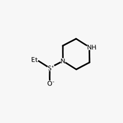 CC[S+]([O-])N1CCNCC1